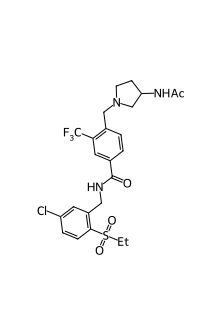 CCS(=O)(=O)c1ccc(Cl)cc1CNC(=O)c1ccc(CN2CCC(NC(C)=O)C2)c(C(F)(F)F)c1